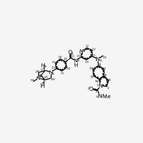 CNC(=O)n1ccc2cc(N(C)c3ccnc(NC(=O)c4ccc(N5C[C@H]6C[C@@H]5CN6C)cc4)c3)ccc21